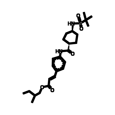 CCC(C)COC(=O)/C=C/c1ccc(NC(=O)[C@H]2CC[C@H](NS(=O)(=O)C(C)(C)C)CC2)cc1